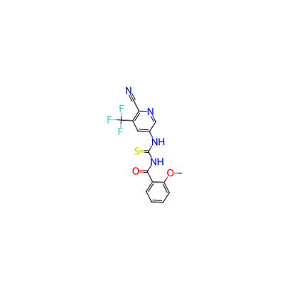 COc1ccccc1C(=O)NC(=S)Nc1cnc(C#N)c(C(F)(F)F)c1